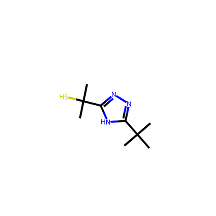 CC(C)(C)c1nnc(C(C)(C)S)[nH]1